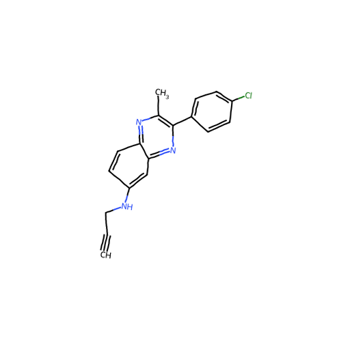 C#CCNc1ccc2nc(C)c(-c3ccc(Cl)cc3)nc2c1